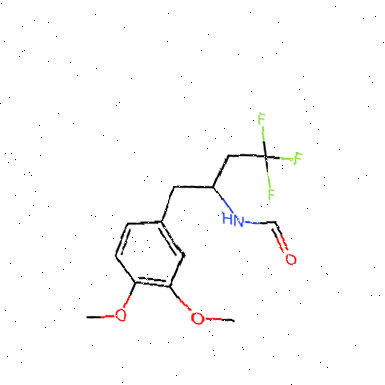 COc1ccc(CC(CC(F)(F)F)NC=O)cc1OC